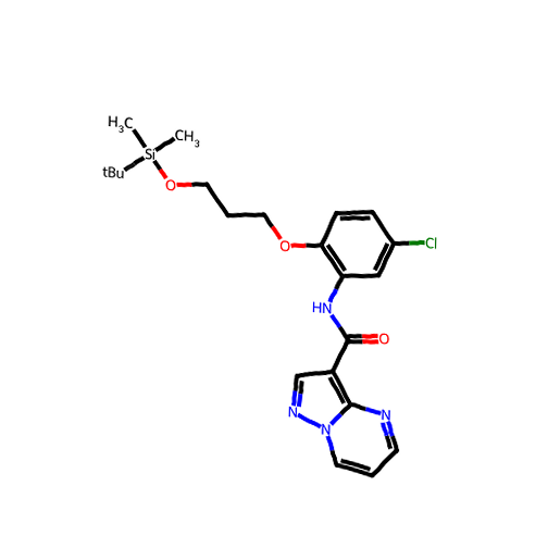 CC(C)(C)[Si](C)(C)OCCCOc1ccc(Cl)cc1NC(=O)c1cnn2cccnc12